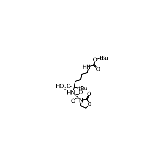 CC(C)(C)OC(=O)NCCCC[C@@](NS(=O)(=O)N1CCOC1=O)(C(=O)O)C(C)(C)C